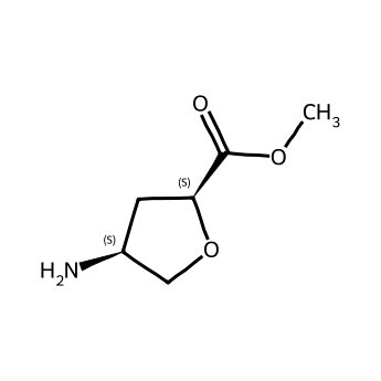 COC(=O)[C@@H]1C[C@H](N)CO1